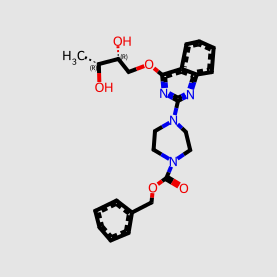 C[C@@H](O)[C@H](O)COc1nc(N2CCN(C(=O)OCc3ccccc3)CC2)nc2ccccc12